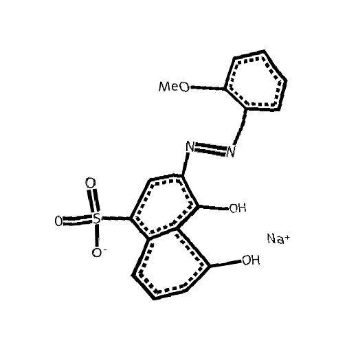 COc1ccccc1N=Nc1cc(S(=O)(=O)[O-])c2cccc(O)c2c1O.[Na+]